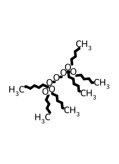 CCCCCCOC(CCCCCC)(OCCCCCC)OCOCOC(CCCCCC)(OCCCCCC)OCCCCCC